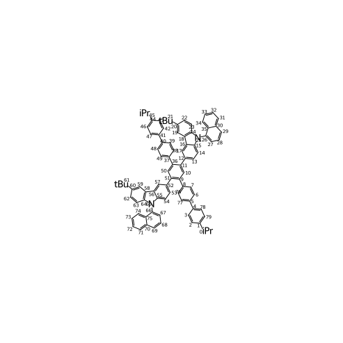 CC(C)c1ccc(-c2ccc(-c3cc(-c4ccc5c(c4)c4cc(C(C)(C)C)ccc4n5-c4cccc5ccccc45)c(-c4ccc(-c5ccc(C(C)C)cc5)cc4)cc3-c3ccc4c(c3)c3cc(C(C)(C)C)ccc3n4-c3cccc4ccccc34)cc2)cc1